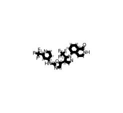 O=c1[nH]ccc2c(-n3ncc(-c4cnc(Nc5ccnc(C(F)(F)F)c5)o4)c3C(F)(F)F)cccc12